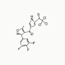 Cc1onc(-c2cc(F)c(F)c(F)c2)c1C(=O)c1c[nH]c(C(=O)C(Cl)(Cl)Cl)c1